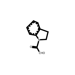 O=CC(=O)N1CCc2ccccc21